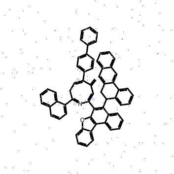 C=C1/C=C(c2c(C3Cc4cc5ccccc5cc4-c4ccccc43)c3ccccc3c3c2oc2ccccc23)\N=C(\c2cccc3ccccc23)C/C=C\1c1ccc(-c2ccccc2)cc1